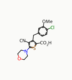 [C-]#[N+]c1c(N2CCOCC2)sc(C(=O)O)c1Cc1ccc(Cl)c(OC)c1